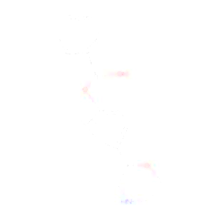 OB(Oc1ccc(C2CNCCO2)cc1)c1ccccc1